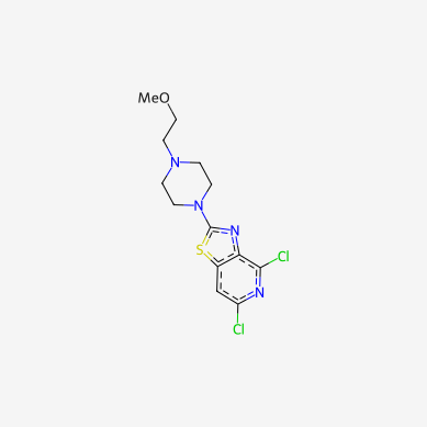 COCCN1CCN(c2nc3c(Cl)nc(Cl)cc3s2)CC1